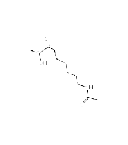 CC(=O)NCCCCCC[C@@H](C)[C@H](C)O